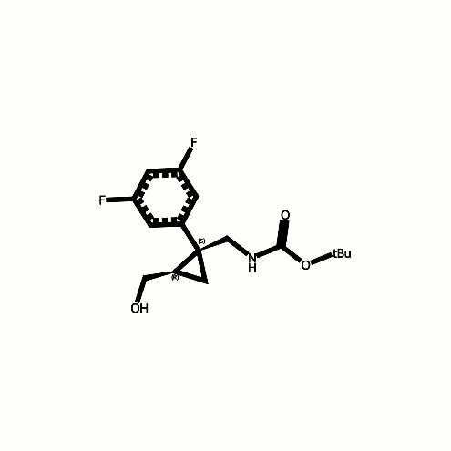 CC(C)(C)OC(=O)NC[C@@]1(c2cc(F)cc(F)c2)C[C@H]1CO